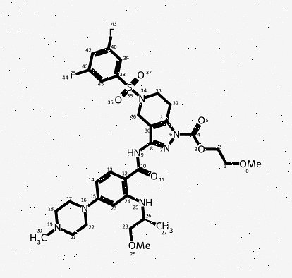 COCCOC(=O)n1nc(NC(=O)c2ccc(N3CCN(C)CC3)cc2N[C@@H](C)COC)c2c1CCN(S(=O)(=O)c1cc(F)cc(F)c1)C2